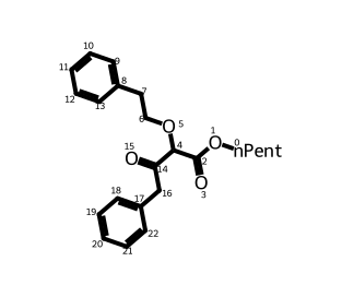 CCCCCOC(=O)C(OCCc1ccccc1)C(=O)Cc1ccccc1